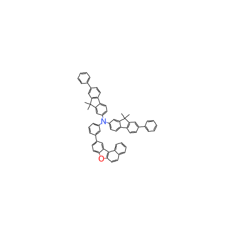 CC1(C)c2cc(-c3ccccc3)ccc2-c2ccc(N(c3cccc(-c4ccc5oc6ccc7ccccc7c6c5c4)c3)c3ccc4c(c3)C(C)(C)c3cc(-c5ccccc5)ccc3-4)cc21